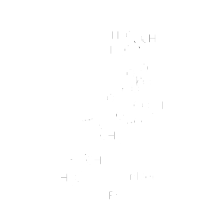 CCCCCCCCCCCCCCCC(=O)OC(C(=O)O)[C@H](COP(=O)([O-])OCC[N+](C)(C)C)OC1CC[C@@]2(C)C(=CCC3C2CC[C@@]2(C)C3CC[C@@H]2[C@H](C)CCCC(C)C)C1